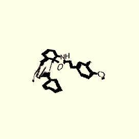 COc1ccc(/C=C/C(=O)NC2=CC=C/C(=C/N(C)Cc3ccccc3)C2(C)I)cc1C